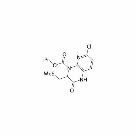 CSCC1C(=O)Nc2ccc(Cl)nc2N1C(=O)OC(C)C